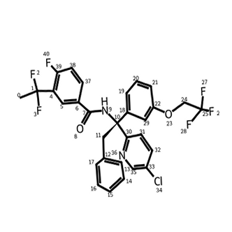 CC(F)(F)c1cc(C(=O)N[C@](Cc2ccccc2)(c2cccc(OCC(F)(F)F)c2)c2ccc(Cl)cn2)ccc1F